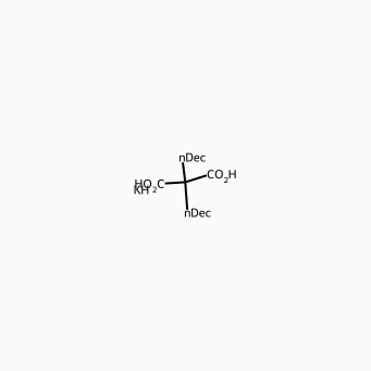 CCCCCCCCCCC(CCCCCCCCCC)(C(=O)O)C(=O)O.[KH]